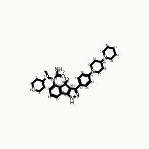 CN(C1CCOCC1)N(C(N)=O)c1cccc2c1C(=O)c1c(-c3ccc(N4CCC(N5CCCCC5)CC4)cc3)n[nH]c1-2